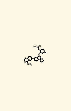 Nc1nccc2ccc(-c3ccc4c(c3)C(Oc3cc(F)ccc3CC(=O)O)CC43CCCC3)cc12